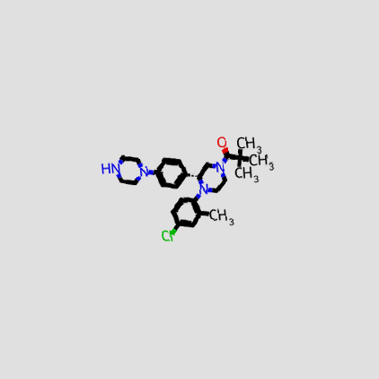 Cc1cc(Cl)ccc1N1CCN(C(=O)C(C)(C)C)C[C@H]1c1ccc(N2CCNCC2)cc1